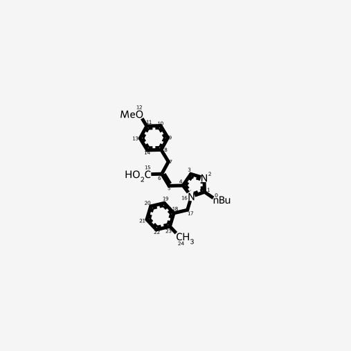 CCCCc1ncc(/C=C(\Cc2ccc(OC)cc2)C(=O)O)n1Cc1ccccc1C